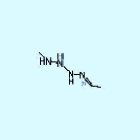 C/C=N/NNNC